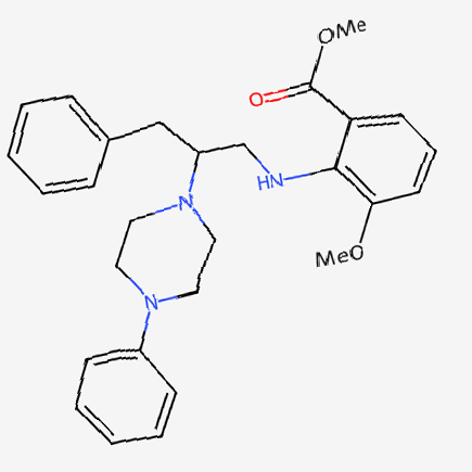 COC(=O)c1cccc(OC)c1NCC(Cc1ccccc1)N1CCN(c2ccccc2)CC1